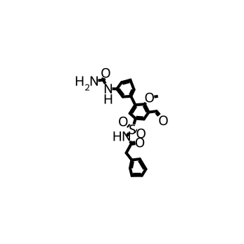 COc1c(C=O)cc(S(=O)(=O)NC(=O)Cc2ccccc2)cc1-c1cccc(NC(N)=O)c1